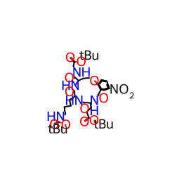 CC(C)(C)OC(=O)CCC1NC(=O)c2cc([N+](=O)[O-])ccc2OCCC(C(=O)NCC(=O)OC(C)(C)C)NC(=O)C(CCCCNC(=O)OC(C)(C)C)NC1=O